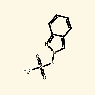 CS(=O)(=O)On1cc2ccccc2n1